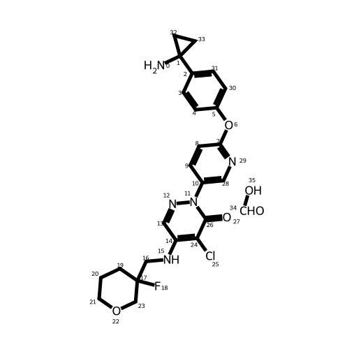 NC1(c2ccc(Oc3ccc(-n4ncc(NCC5(F)CCCOC5)c(Cl)c4=O)cn3)cc2)CC1.O=CO